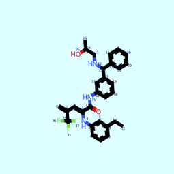 C=C(/C=C(\Nc1cccc(CC)c1)C(=O)Nc1cccc(C(NCC(C)O)c2ccccc2)c1)C(F)(F)F